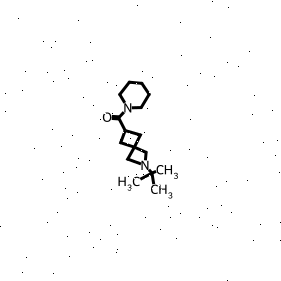 CC(C)(C)N1CC2(CC(C(=O)N3CCCCC3)C2)C1